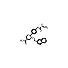 NNC(=O)Cc1ccc(C2CCN(C(=O)O)CC2OCc2ccc3ccccc3c2)cc1